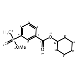 COP(C)(=O)c1cccc(C(=O)OC2CCCCC2)c1